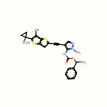 CC(OC(=O)Nc1c(C#Cc2cc3sc(C4(C(=O)O)CC4)c(C#N)c3s2)cnn1C)c1ccccc1